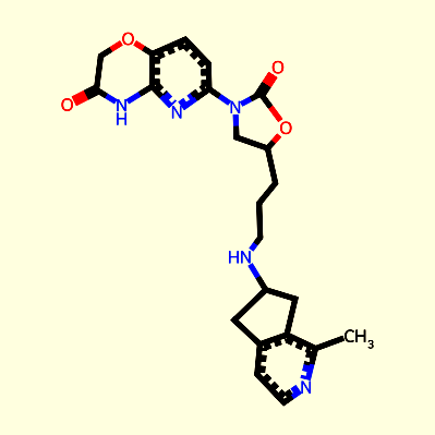 Cc1nccc2c1CC(NCCCC1CN(c3ccc4c(n3)NC(=O)CO4)C(=O)O1)C2